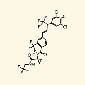 O=C(NC1(C(=O)NCC(F)(F)F)CC1)c1ccc(C=C[C@H](c2cc(Cl)c(Cl)c(Cl)c2)C(F)(F)F)cc1C(F)(F)F